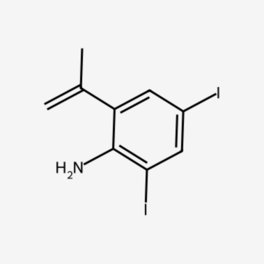 C=C(C)c1cc(I)cc(I)c1N